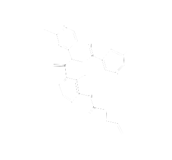 C=CCOC(=O)Nc1cccc(C(=O)C(SC(=N)c2cncc(F)c2)c2ccnc(Cl)n2)c1F